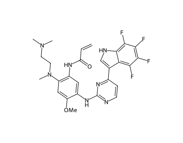 C=CC(=O)Nc1cc(Nc2nccc(-c3c[nH]c4c(F)c(F)c(F)c(F)c34)n2)c(OC)cc1N(C)CCN(C)C